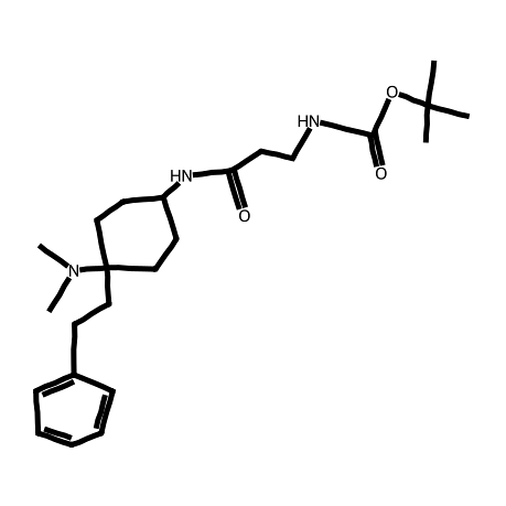 CN(C)C1(CCc2ccccc2)CCC(NC(=O)CCNC(=O)OC(C)(C)C)CC1